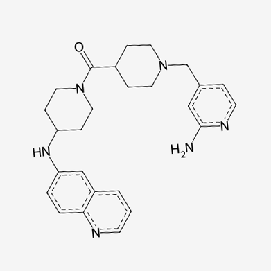 Nc1cc(CN2CCC(C(=O)N3CCC(Nc4ccc5ncccc5c4)CC3)CC2)ccn1